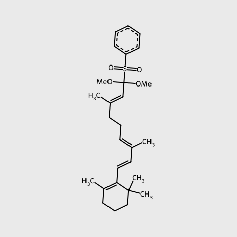 COC(C=C(C)CCC=C(C)C=CC1=C(C)CCCC1(C)C)(OC)S(=O)(=O)c1ccccc1